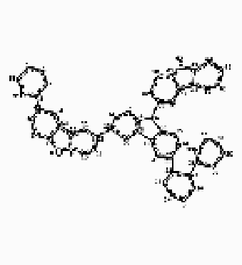 c1ccc(-c2ccc3oc4ccc(-c5ccc6c(c5)-c5cc(-c7ccccc7-c7ccccn7)ccc5C6c5ccc6sc7ccccc7c6c5)cc4c3c2)nc1